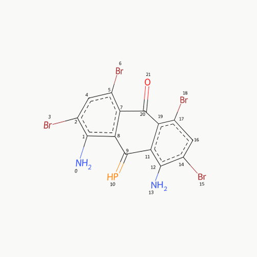 Nc1c(Br)cc(Br)c2c1C(=P)c1c(N)c(Br)cc(Br)c1C2=O